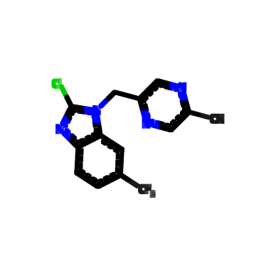 N#Cc1cnc(Cn2c(Cl)nc3ccc(C(F)(F)F)cc32)cn1